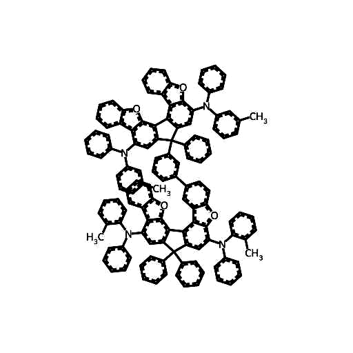 Cc1cccc(N(c2ccccc2)c2cc3c(c4c2oc2ccccc24)-c2c(cc(N(c4ccccc4)c4cccc(C)c4)c4c2oc2ccccc24)C3(c2ccccc2)c2cccc(-c3ccc4oc5c(N(c6ccccc6)c6ccccc6C)cc6c(c5c4c3)-c3c(cc(N(c4ccccc4)c4ccccc4C)c4c3oc3ccccc34)C6(c3ccccc3)c3ccccc3)c2)c1